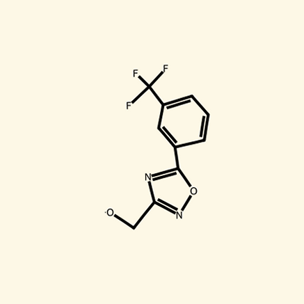 [O]Cc1noc(-c2cccc(C(F)(F)F)c2)n1